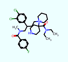 CCN(CC)C(=O)C1([N+]2(CCC(CN(C)C(=O)c3ccc(F)cc3)c3ccc(Cl)c(Cl)c3)CCCCC2)CCNCC1